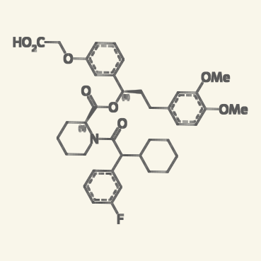 COc1ccc(CC[C@@H](OC(=O)[C@@H]2CCCCN2C(=O)C(c2cccc(F)c2)C2CCCCC2)c2cccc(OCC(=O)O)c2)cc1OC